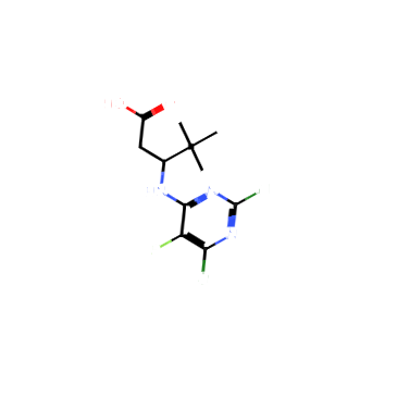 CC(C)(C)C(CC(=O)O)Nc1nc(Cl)nc(Cl)c1F